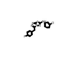 Fc1ccc(Cc2nnc3sc(Nc4cccc(Cl)c4)nn23)cc1